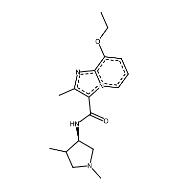 CCOc1cccn2c(C(=O)N[C@H]3CN(C)CC3C)c(C)nc12